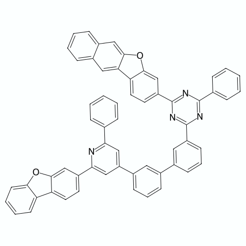 c1ccc(-c2cc(-c3cccc(-c4cccc(-c5nc(-c6ccccc6)nc(-c6ccc7c(c6)oc6cc8ccccc8cc67)n5)c4)c3)cc(-c3ccc4c(c3)oc3ccccc34)n2)cc1